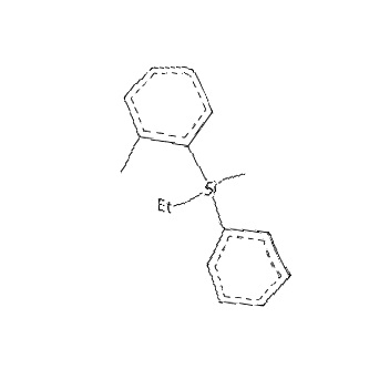 CC[Si](C)(c1ccccc1)c1ccccc1C